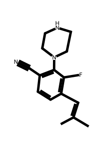 CC(C)=Cc1ccc(C#N)c(N2CCNCC2)c1F